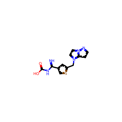 N=C(NC(=O)O)c1csc(Cn2ccn3nccc23)c1